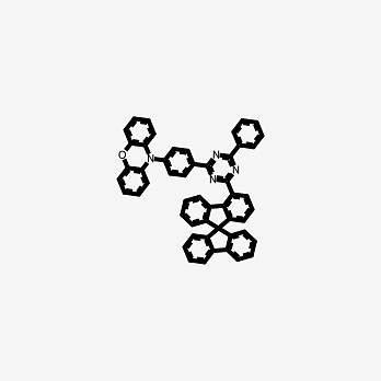 c1ccc(-c2nc(-c3ccc(N4c5ccccc5Oc5ccccc54)cc3)nc(-c3cccc4c3-c3ccccc3C43c4ccccc4-c4ccccc43)n2)cc1